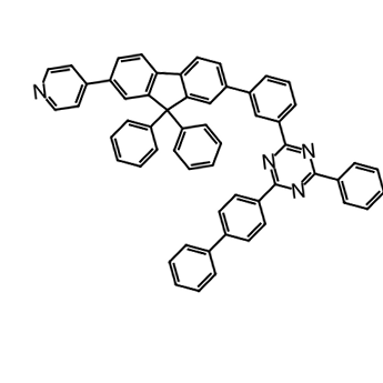 c1ccc(-c2ccc(-c3nc(-c4ccccc4)nc(-c4cccc(-c5ccc6c(c5)C(c5ccccc5)(c5ccccc5)c5cc(-c7ccncc7)ccc5-6)c4)n3)cc2)cc1